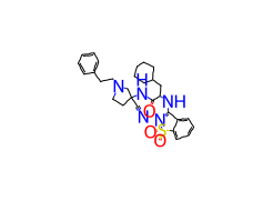 N#CC1(NC(=O)C(CC2CCCCC2)NC2=NS(=O)(=O)c3ccccc32)CCN(CCc2ccccc2)C1